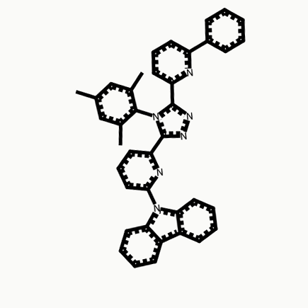 Cc1cc(C)c(-n2c(-c3cccc(-c4ccccc4)n3)nnc2-c2cccc(-n3c4ccccc4c4ccccc43)n2)c(C)c1